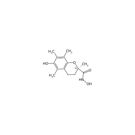 Cc1c(C)c2c(c(C)c1O)CC[C@](C)(C(=O)NO)O2